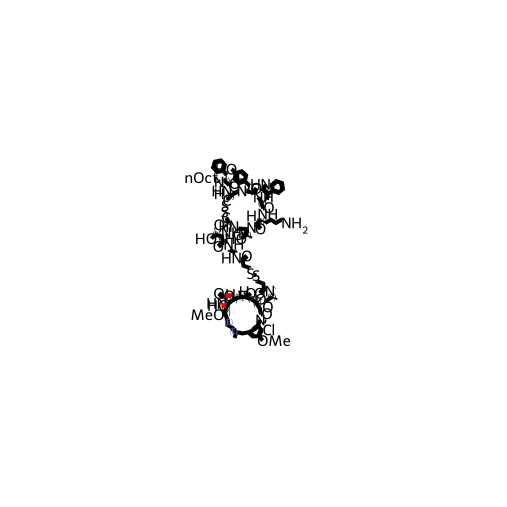 CCCCCCCCN[C@H](Cc1ccccc1)C(=O)N[C@H]1CSSC[C@@H](C(=O)N[C@H](C(=O)NCCNC(=O)CCSSCCC(=O)N(C)[C@@H](C)C(=O)O[C@H]2CC(=O)N(C)c3cc(cc(OC)c3Cl)C/C(C)=C/C=C/[C@@H](OC)[C@@]3(O)C[C@H](OC(=O)N3)[C@@H](C)[C@@H]3O[C@@]23C)[C@@H](C)O)NC(=O)[C@H]([C@@H](C)O)NC(=O)[C@H](CCCCN)NC(=O)[C@@H](Cc2c[nH]c3ccccc23)NC(=O)[C@H](Cc2ccc(O)cc2)NC1=O